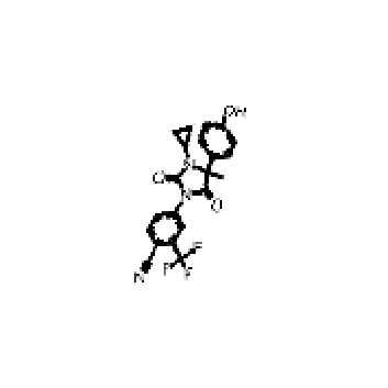 CC1(c2ccc(O)cc2)C(=O)N(c2ccc(C#N)c(C(F)(F)F)c2)C(=O)N1C1CC1